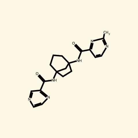 Cc1nccc(C(=O)NC23CCCC(NC(=O)c4cnccn4)(CC2)C3)n1